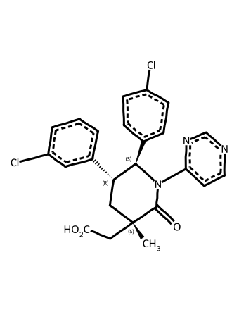 C[C@@]1(CC(=O)O)C[C@H](c2cccc(Cl)c2)[C@@H](c2ccc(Cl)cc2)N(c2ccncn2)C1=O